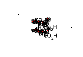 O=C(O)COc1c(C(=O)OCC2CCCCC2)sc(-c2cccc(NC3CCN(S(=O)(=O)Cc4ccccc4)CC3)c2)c1Br.O=C(O)COc1c(C(=O)OCc2ccccc2[N+](=O)[O-])sc(-c2cccc(NC3CCN(S(=O)(=O)Cc4ccccc4)CC3)c2)c1Br